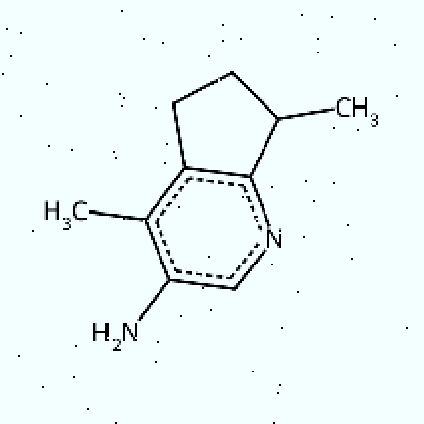 Cc1c(N)cnc2c1CCC2C